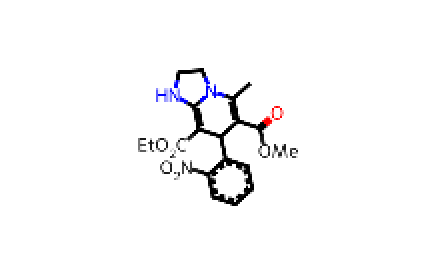 CCOC(=O)C1=C2NCCN2C(C)=C(C(=O)OC)C1c1ccccc1[N+](=O)[O-]